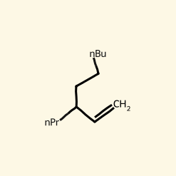 C=CC(CCC)CCCCCC